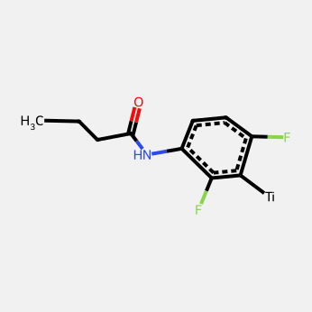 CCCC(=O)Nc1ccc(F)[c]([Ti])c1F